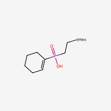 CCCCCCCCP(=O)(O)C1=CCCCC1